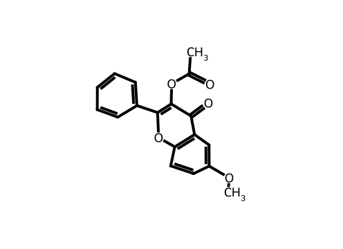 COc1ccc2oc(-c3ccccc3)c(OC(C)=O)c(=O)c2c1